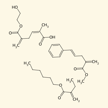 C=C(CC)C(=O)OCCCCCC.C=C(CC=C(C)C(=O)O)C(=O)OCCO.C=C(CC=Cc1ccccc1)C(=O)OC